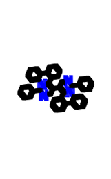 c1ccc(-c2ncc(-c3cnc(-c4ccccc4)nc3-c3ccccc3-c3ccccc3)c(-c3ccccc3-c3ccccc3)n2)cc1